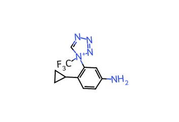 Nc1ccc(C2CC2)c([N+]2(C(F)(F)F)C=NN=N2)c1